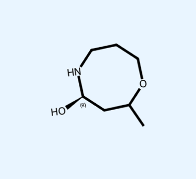 CC1C[C@@H](O)NCCCO1